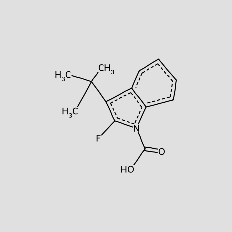 CC(C)(C)c1c(F)n(C(=O)O)c2ccccc12